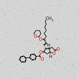 CCCCCCC[C@@H](C=C[C@@H]1[C@H]2CC(=O)O[C@H]2C[C@H]1OC(=O)c1ccc(-c2ccccc2)cc1)OC1CCCCO1